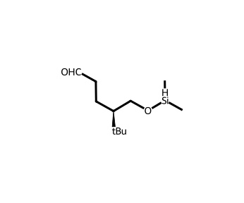 C[SiH](C)OC[C@H](CCC=O)C(C)(C)C